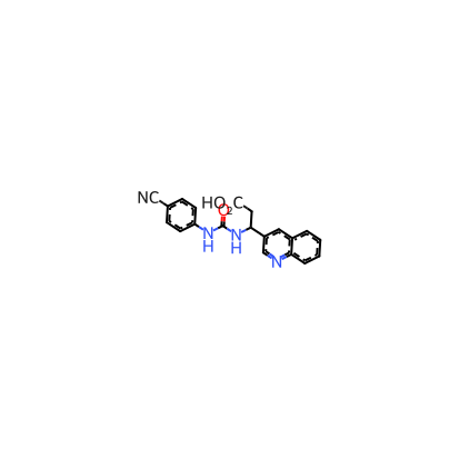 N#Cc1ccc(NC(=O)NC(CC(=O)O)c2cnc3ccccc3c2)cc1